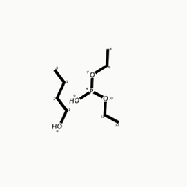 CCCCO.CCOP(O)OCC